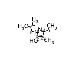 CCc1nn(CC(C)C)c(O)c1C